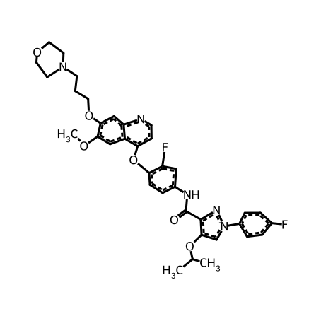 COc1cc2c(Oc3ccc(NC(=O)c4nn(-c5ccc(F)cc5)cc4OC(C)C)cc3F)ccnc2cc1OCCCN1CCOCC1